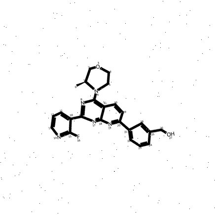 C[C@H]1COCCN1c1nc(-c2cccnc2F)nc2nc(-c3cccc(CO)c3)ccc12